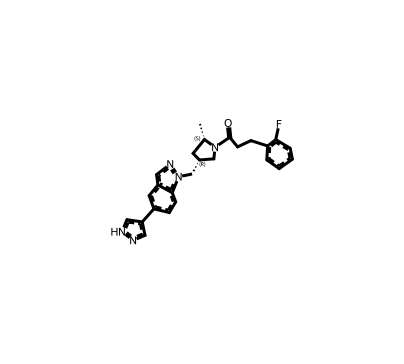 C[C@H]1C[C@@H](Cn2ncc3cc(-c4cn[nH]c4)ccc32)CN1C(=O)CCc1ccccc1F